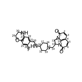 O=c1ccc2ccc(=O)n3c2n1CC3CN1CCC(NCc2cc3c(cc2F)OCCN3)CC1